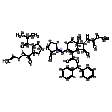 C=CCOC(=O)N1C[C@@H](N2CC/C(=C\C3=C(C(=O)OC(c4ccccc4)c4ccccc4)N4C(=O)[C@@H](NC(=O)OC(C)(C)C)[C@H]4SC3)C2=O)C[C@H]1C(=O)N(C)C